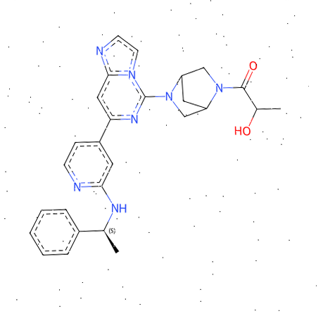 CC(O)C(=O)N1CC2CC1CN2c1nc(-c2ccnc(N[C@@H](C)c3ccccc3)c2)cc2nccn12